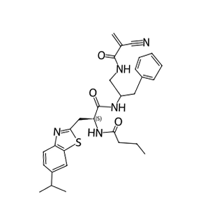 C=C(C#N)C(=O)NCC(Cc1ccccc1)NC(=O)[C@H](Cc1nc2ccc(C(C)C)cc2s1)NC(=O)CCC